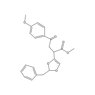 COC(=O)C(CC(=O)c1ccc(OC)cc1)C1=COC(Cc2ccccc2)O1